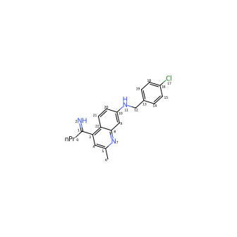 CCCC(=N)c1cc(C)nc2cc(NCc3ccc(Cl)cc3)ccc12